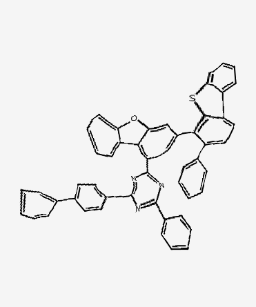 c1ccc(-c2ccc(-c3nc(-c4ccccc4)nc(-c4cc(-c5c(-c6ccccc6)ccc6c5sc5ccccc56)cc5oc6ccccc6c45)n3)cc2)cc1